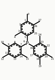 Cc1cc(C)c(P(c2cc(C)c(C)cc2C)c2cc(C)c(C)cc2C)cc1C